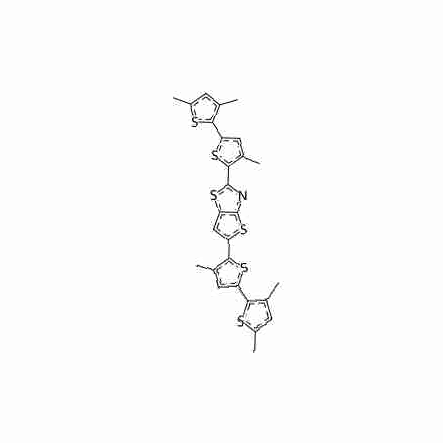 Cc1cc(C)c(-c2cc(C)c(-c3cc4sc(-c5sc(-c6sc(C)cc6C)cc5C)nc4s3)s2)s1